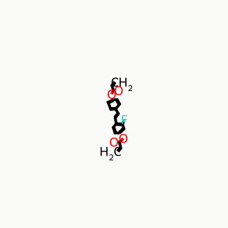 C=CC(=O)Oc1ccc(C=Cc2ccc(OC(=O)C=C)cc2F)cc1